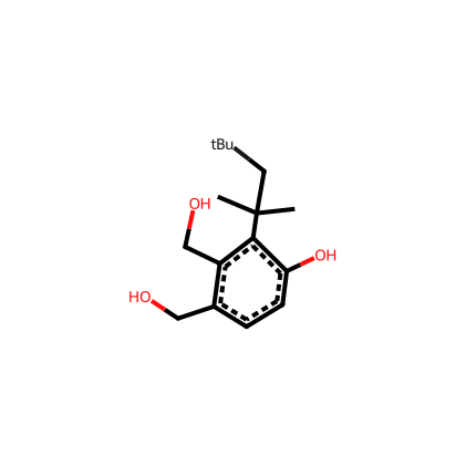 CC(C)(C)CC(C)(C)c1c(O)ccc(CO)c1CO